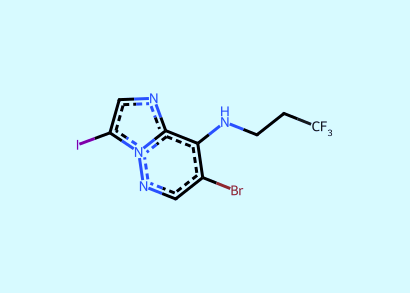 FC(F)(F)CCNc1c(Br)cnn2c(I)cnc12